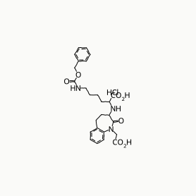 Cl.O=C(O)CN1C(=O)C(NC(CCCCNC(=O)OCc2ccccc2)C(=O)O)CCc2ccccc21